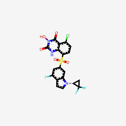 O=c1[nH]c2c(S(=O)(=O)c3cc(F)c4ccn([C@@H]5CC5(F)F)c4c3)ccc(Cl)c2c(=O)n1O